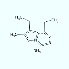 CCc1cccn2nc(C)c(CC)c12.N